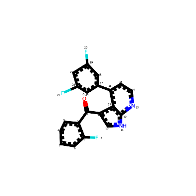 O=C(c1ccccc1F)c1c[nH]c2nccc(-c3cc(F)cc(F)c3)c12